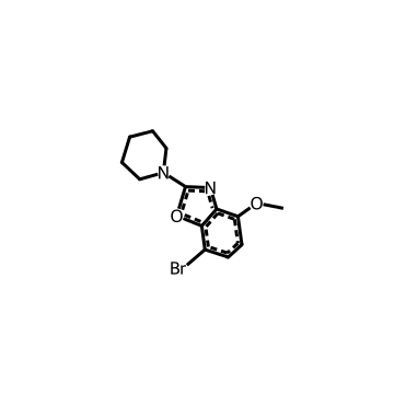 COc1ccc(Br)c2oc(N3CCCCC3)nc12